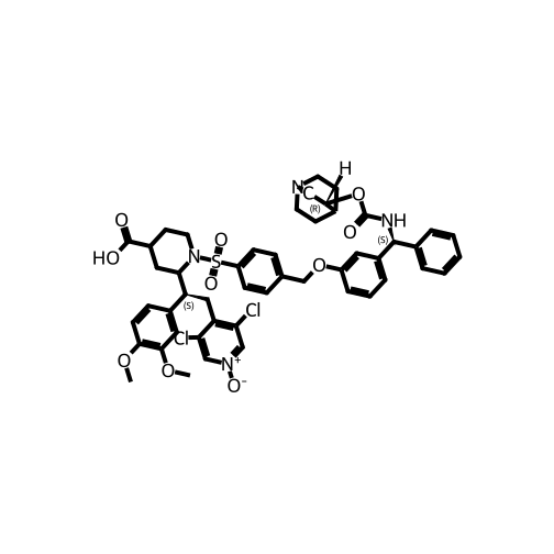 COc1ccc([C@H](Cc2c(Cl)c[n+]([O-])cc2Cl)C2CC(C(=O)O)CCN2S(=O)(=O)c2ccc(COc3cccc([C@@H](NC(=O)O[C@H]4CN5CCC4CC5)c4ccccc4)c3)cc2)cc1OC